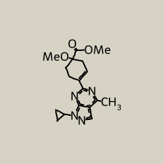 COC(=O)C1(OC)CC=C(c2nc(C)c3cnn(C4CC4)c3n2)CC1